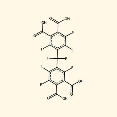 O=C(O)c1c(F)c(F)c(C(F)(F)c2c(F)c(F)c(C(=O)O)c(C(=O)O)c2F)c(F)c1C(=O)O